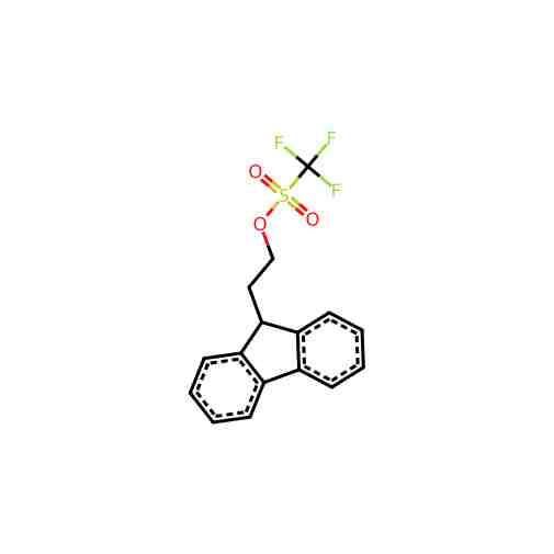 O=S(=O)(OCCC1c2ccccc2-c2ccccc21)C(F)(F)F